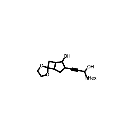 CCCCCCC(O)C#CC1CC2C(CC23OCCO3)C1O